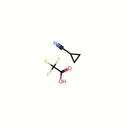 N#CC1CC1.O=C(O)C(F)(F)F